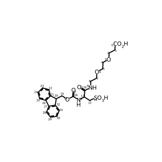 O=C(O)CCOCCOCCNC(=O)C(CS(=O)(=O)O)NC(=O)OCC1c2ccccc2-c2ccccc21